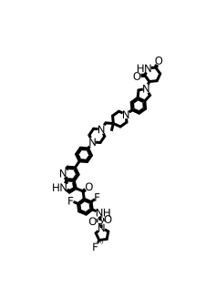 CC1(CN2CCN(c3ccc(-c4cnc5[nH]cc(C(=O)c6c(F)ccc(NS(=O)(=O)N7CC[C@@H](F)C7)c6F)c5c4)cc3)CC2)CCN(c2ccc3c(c2)CN(C2CCC(=O)NC2=O)C3)CC1